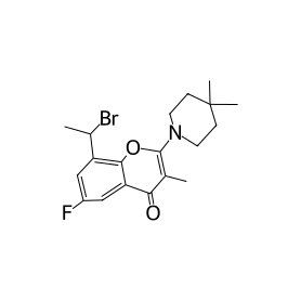 Cc1c(N2CCC(C)(C)CC2)oc2c(C(C)Br)cc(F)cc2c1=O